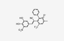 Cc1cc(C(F)(F)F)c(C(C#N)=Cc2cc(O)c(O)c([N+](=O)[O-])c2)c(-c2ccccc2)[n+]1[O-]